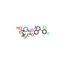 C[C@@H](Oc1ccc2c(-c3ccc(F)cc3Cl)ccnc2c1)C(=O)N1CCC[C@@](C)(C(=O)O)C1